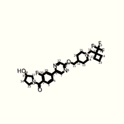 O=C(c1ccc(-c2cnc(OCC3CCN(CC4(C(F)(F)F)CCC4)CC3)cn2)cc1F)N1CCC(O)C1